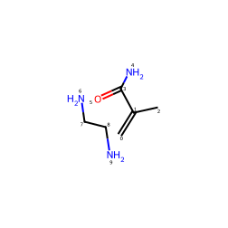 C=C(C)C(N)=O.NCCN